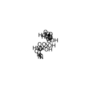 Cn1cc(-c2cn([C@@H]3O[C@H](COP(=O)(O)OP(=O)(O)OP(=O)(O)O)C(O)[C@@H]3O)c(=O)[nH]c2=O)nn1